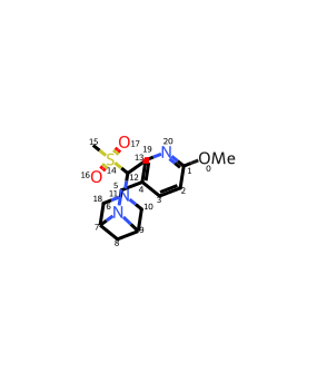 COc1ccc(CN2C3CC2CN(C(C)S(C)(=O)=O)C3)cn1